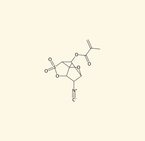 [C-]#[N+]C1C2OC3(C)C1OS(=O)(=O)C3C2OC(=O)C(=C)C